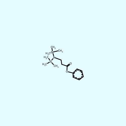 C[Si](C)(C)N(CCC(=O)Oc1ccccc1)[Si](C)(C)C